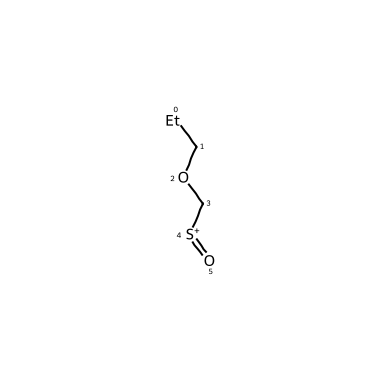 CCCOC[S+]=O